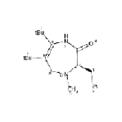 CC(C)C[C@@H]1C(=O)NC(C(C)(C)C)=C(C(C)(C)C)CN1C